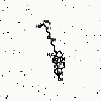 C[C@]12CCC(O)CC1CC[C@@H]1[C@H]2CC[C@]2(C)C(CCCNOCCNC(=N)N)CC[C@@]12O